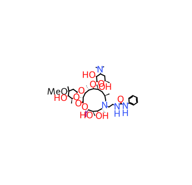 CO[C@]1(C)C[C@H](O[C@H]2[C@H](C)[C@@H](O[C@@H]3O[C@H](C)C[C@H](N(C)C)[C@H]3O)[C@](C)(O)C[C@@H](C)CN(CCNC(=O)Nc3ccccc3)[C@H](C)[C@@H](O)[C@](C)(O)[C@@H](I)OC(=O)[C@@H]2C)O[C@@H](C)[C@@H]1O